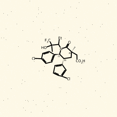 CCC(N1C(=O)[C@@](C)(CC(=O)O)C[C@H](c2cccc(Cl)c2)[C@H]1c1ccc(Cl)cc1)C(C)(O)C(F)(F)F